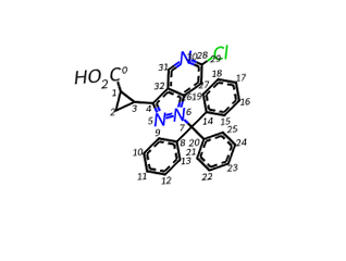 O=C(O)C1CC1c1nn(C(c2ccccc2)(c2ccccc2)c2ccccc2)c2cc(Cl)ncc12